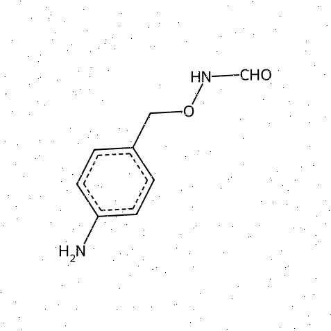 Nc1ccc(CONC=O)cc1